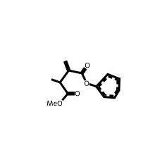 C=C(C(=O)Oc1ccccc1)C(C)C(=O)OC